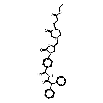 CCOC(=O)CCN1CCN(CC2CN(c3ccc(C(=N)NC(=O)C(c4ccccc4)c4ccccc4)cc3)C(=O)O2)CC1=O